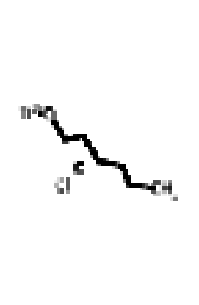 CCCCCC[O][Ti+2].[Cl-].[Cl-]